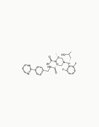 CC(O)C[C@H](c1c(F)cccc1F)N1C[C@@H](C)N(C(=O)C(C)C)[C@@H](C(=O)NCc2ccc(-c3ncccn3)cc2)C1